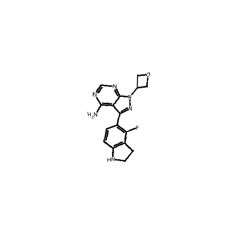 Nc1ncnc2c1c(-c1ccc3c(c1F)CCN3)nn2C1COC1